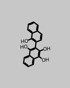 Oc1c(-c2ccc3ccccc3c2O)c(O)c2ccccc2c1O